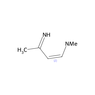 CN/C=C\C(C)=N